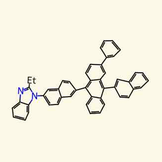 CCc1nc2ccccc2n1-c1ccc2cc(-c3c4ccccc4c(-c4ccc5ccccc5c4)c4cc(-c5ccccc5)ccc34)ccc2c1